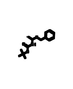 [CH2]C(NC(=O)OC(C)(C)C)OCc1ccccc1